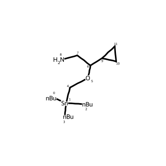 CCC[CH2][Sn]([CH2]CCC)([CH2]CCC)[CH2]OC(CN)C1CC1